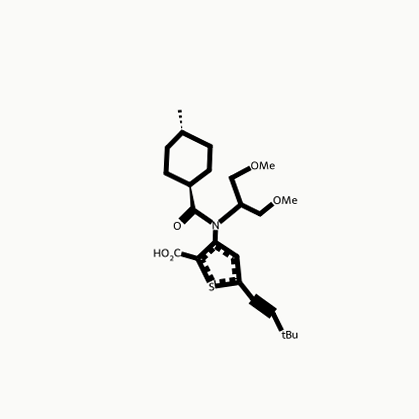 COCC(COC)N(c1cc(C#CC(C)(C)C)sc1C(=O)O)C(=O)[C@H]1CC[C@H](C)CC1